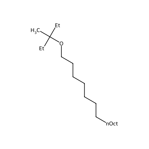 CCCCCCCCCCCCCCCOC(C)(CC)CC